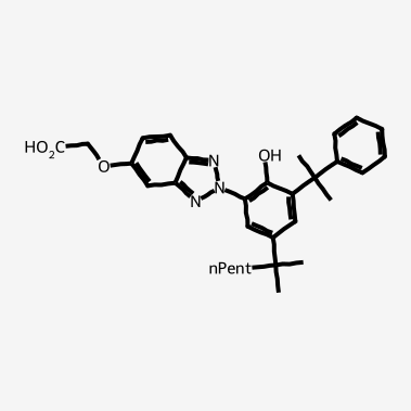 CCCCCC(C)(C)c1cc(-n2nc3ccc(OCC(=O)O)cc3n2)c(O)c(C(C)(C)c2ccccc2)c1